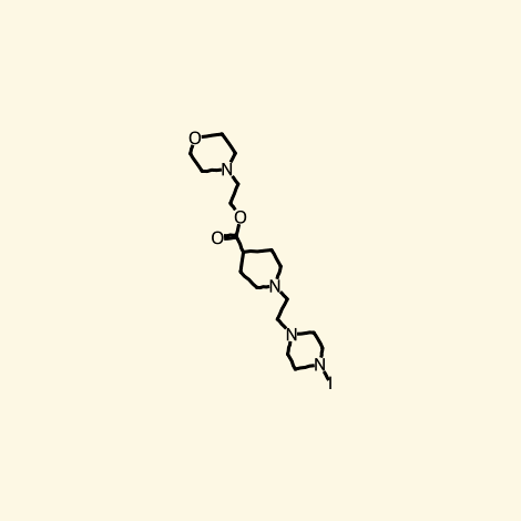 O=C(OCCN1CCOCC1)C1CCN(CCN2CCN(I)CC2)CC1